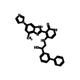 Cc1cc(-n2ccnc2)cc2[nH]c(-c3c(NCC(O)c4cccc(-c5ccccc5)c4)cc[nH]c3=O)nc12